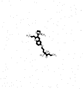 CCCC(=O)C(C)(C)CCCOc1ccc2c(c1)C=C(c1nccn1C)C(CCC)O2